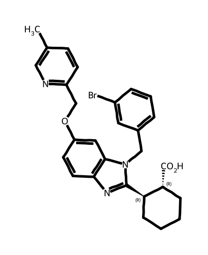 Cc1ccc(COc2ccc3nc([C@@H]4CCCC[C@H]4C(=O)O)n(Cc4cccc(Br)c4)c3c2)nc1